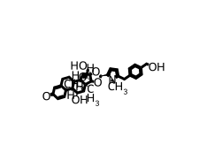 Cn1c(Cc2ccc(CO)cc2)ccc1[C@@H]1O[C@@H]2C[C@H]3[C@@H]4CCC5=CC(=O)C=C[C@]5(C)[C@H]4[C@@H](O)C[C@]3(C)[C@]2(C(=O)CO)O1